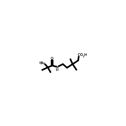 CC(C)(CCNC(=O)C(C)(C)C(C)(C)C)CC(=O)O